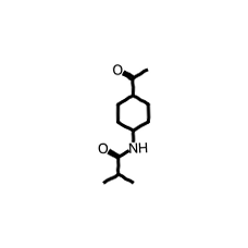 CC(=O)C1CCC(NC(=O)C(C)C)CC1